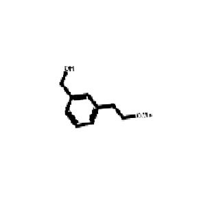 COCCc1cccc(CO)c1